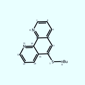 CCCCSc1cc2cccnc2c2ncccc12